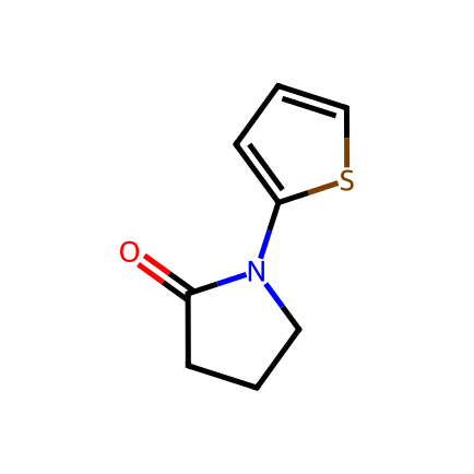 O=C1CCCN1c1cccs1